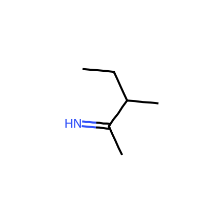 CCC(C)C(C)=N